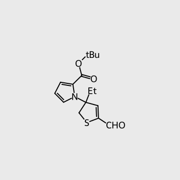 CCC1(n2cccc2C(=O)OC(C)(C)C)C=C(C=O)SC1